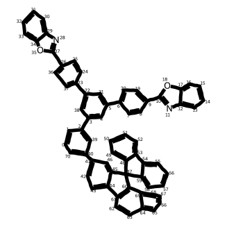 c1cc(-c2cc(-c3ccc(-c4nc5ccccc5o4)cc3)cc(-c3ccc(-c4nc5ccccc5o4)cc3)c2)cc(-c2ccc3c(c2)C2(c4ccccc4-c4ccccc42)c2c-3ccc3ccccc23)c1